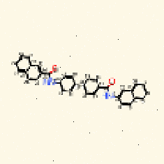 O=C(Nc1ccc2ccccc2c1)c1ccc(-c2ccc(NC(=O)c3ccc4ccccc4c3)cc2)cc1